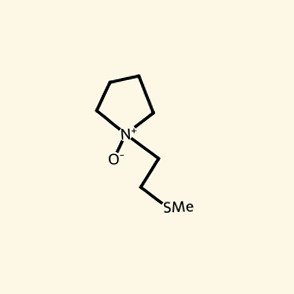 CSCC[N+]1([O-])CCCC1